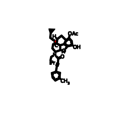 CC(=O)Oc1cc(O)c2c3c1C[C@@H]1[C@@H]4CC[C@H](N(CC(C)C)C(=O)C#Cc5cccc(C)c5)[C@H](O2)[C@]34CCN1CC1CC1